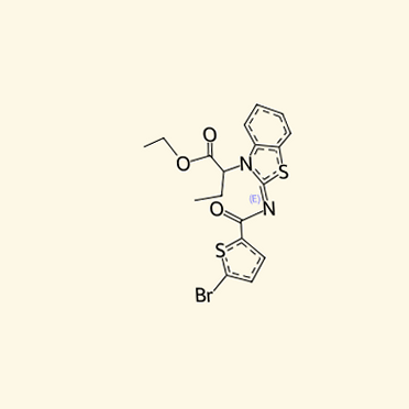 CCOC(=O)C(CC)n1/c(=N\C(=O)c2ccc(Br)s2)sc2ccccc21